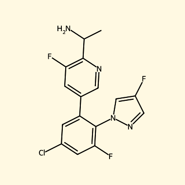 CC(N)c1ncc(-c2cc(Cl)cc(F)c2-n2cc(F)cn2)cc1F